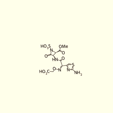 COC(=O)[C@H]1[C@@H](NC(=O)C(=NOCC(=O)O)c2csc(N)n2)C(=O)N1S(=O)(=O)O